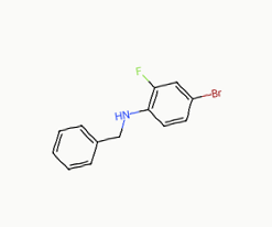 Fc1cc(Br)ccc1NCc1ccccc1